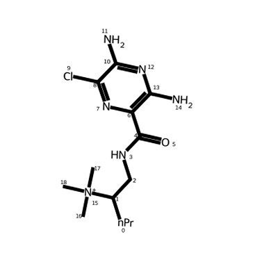 CCCC(CNC(=O)c1nc(Cl)c(N)nc1N)[N+](C)(C)C